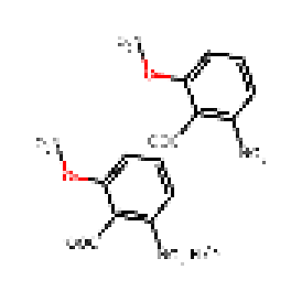 O=C([O-])c1c(O[N+](=O)[O-])cccc1[N+](=O)[O-].O=C([O-])c1c(O[N+](=O)[O-])cccc1[N+](=O)[O-].[Pb+2]